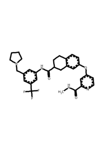 CNC(=O)c1cc(Oc2ccc3c(c2)CC(C(=O)Nc2cc(CN4CCCC4)cc(C(F)(F)F)c2)CC3)ccn1